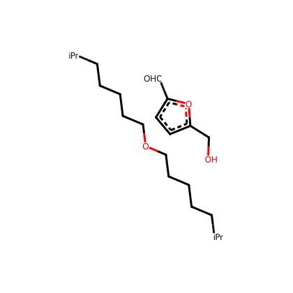 CC(C)CCCCCOCCCCCC(C)C.O=Cc1ccc(CO)o1